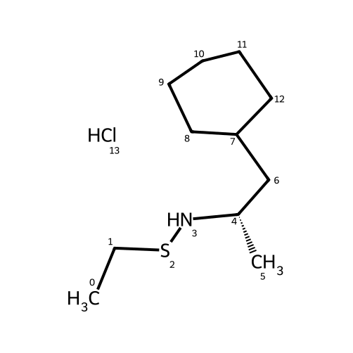 CCSN[C@@H](C)CC1CCCCC1.Cl